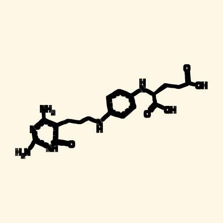 Nc1nc(N)c(CCCNc2ccc(N[C@@H](CCC(=O)O)C(=O)O)cc2)c(=O)[nH]1